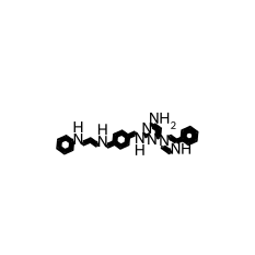 Nc1cc(N2CCNC(c3ccccc3)C2)nc(NCC2CCC(CNCCCNC3CCCCC3)CC2)n1